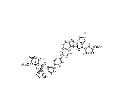 COC(=O)N[C@H](C(=O)N1C[C@@H](C)C[C@H]1c1nc2ccc3cc(-c4ccc(-c5cnc([C@@H]6[C@H]7CC[C@H](C7)N6C(=O)[C@@H](NC(=O)OC)[C@@H](C)OC)[nH]5)cc4)ccc3c2[nH]1)C(C)C